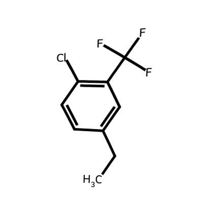 CCc1ccc(Cl)c(C(F)(F)F)c1